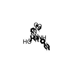 C[C@H]1COC(=O)N1c1cccc(N2C[C@](C)(CO)c3cnc(Nc4ccc(N5CCN(C)CC5)cc4)nc32)n1